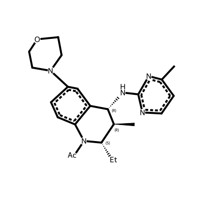 CC[C@H]1[C@H](C)[C@@H](Nc2nccc(C)n2)c2cc(N3CCOCC3)ccc2N1C(C)=O